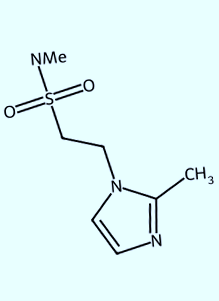 CNS(=O)(=O)CCn1ccnc1C